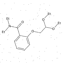 CCOC(COc1ccccc1C(=O)N(CC)CC)OCC